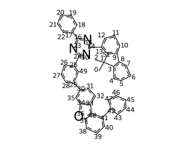 CC1(C)c2ccccc2-c2cccc(-c3nc(-c4ccccc4)nc(-c4cccc(-c5ccc6c(c5)oc5cccc(-c7ccccc7)c56)c4)n3)c21